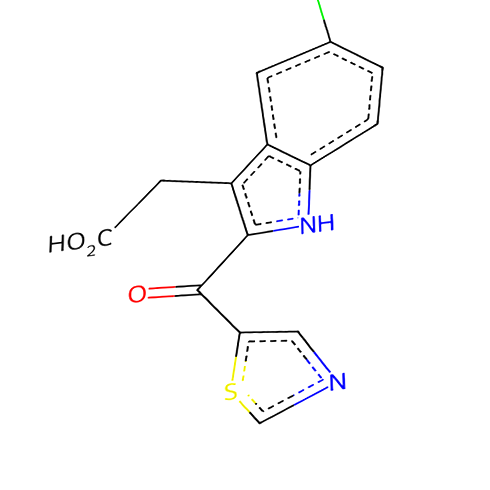 O=C(O)Cc1c(C(=O)c2cncs2)[nH]c2ccc(Cl)cc12